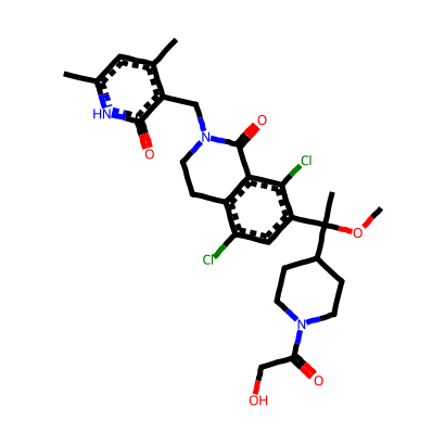 COC(C)(c1cc(Cl)c2c(c1Cl)C(=O)N(Cc1c(C)cc(C)[nH]c1=O)CC2)C1CCN(C(=O)CO)CC1